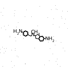 CN(Cc1ccc(N)cc1)C1Cc2ccc(N)cc2C1